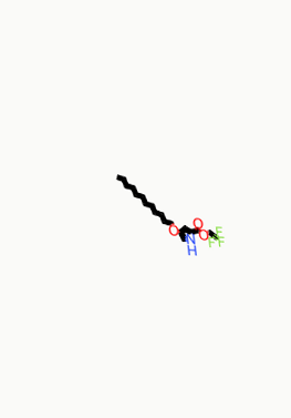 CCCCCCCCCCCCOc1c[nH]c(C(=O)OCC(F)(F)F)c1